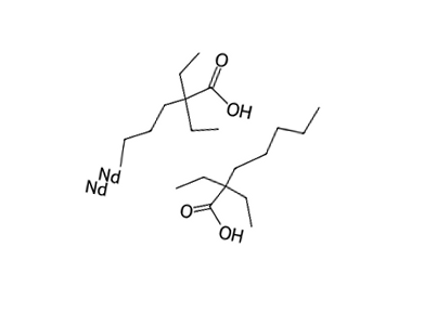 CCCCC(CC)(CC)C(=O)O.CCCCCC(CC)(CC)C(=O)O.[Nd].[Nd]